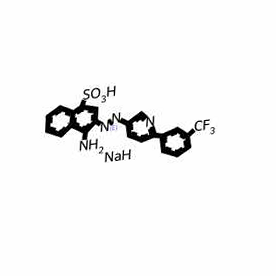 Nc1c(/N=N/c2ccc(-c3cccc(C(F)(F)F)c3)nc2)cc(S(=O)(=O)O)c2ccccc12.[NaH]